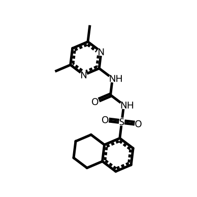 Cc1cc(C)nc(NC(=O)NS(=O)(=O)c2cccc3c2CCCC3)n1